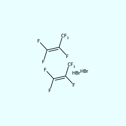 Br.Br.FC(F)=C(F)C(F)(F)F.FC(F)=C(F)C(F)(F)F